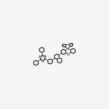 c1ccc(-c2nc(-c3ccccc3)nc(-c3cccc(-c4ccc(-c5ccc6c(c5)Oc5ccccc5C65c6ccccc6-c6ccccc65)c5ccccc45)c3)n2)cc1